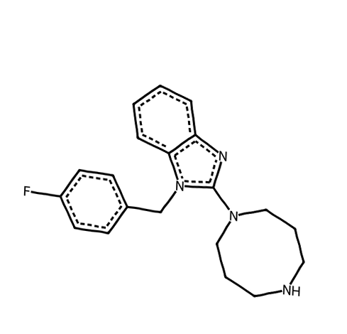 Fc1ccc(Cn2c(N3CCCNCCC3)nc3ccccc32)cc1